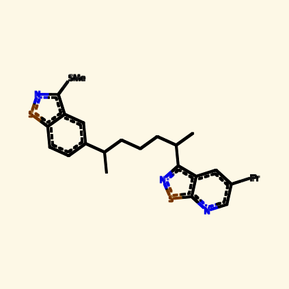 CSc1nsc2ccc(C(C)CCCC(C)c3nsc4ncc(C(C)C)cc34)cc12